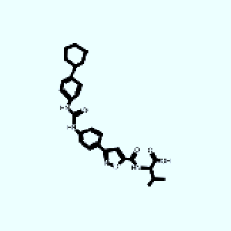 CC(C)C(NC(=O)c1cc(-c2ccc(NC(=O)Nc3ccc(C4CCCCC4)cc3)cc2)no1)C(=O)O